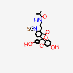 C=C(C)C(=O)NCCCc1c(N=C=S)ccc2c1C(=O)OC21c2ccc(O)cc2Oc2cc(O)ccc21